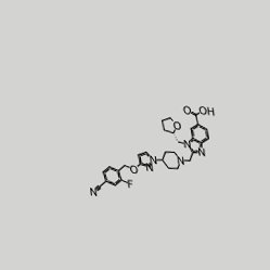 N#Cc1ccc(COc2ccn(C3CCN(Cc4nc5ccc(C(=O)O)cc5n4C[C@@H]4CCCO4)CC3)n2)c(F)c1